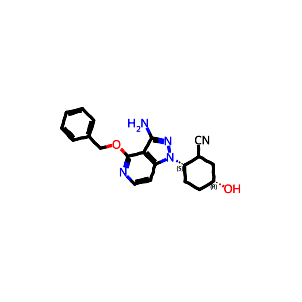 N#CC1C[C@H](O)CC[C@@H]1n1nc(N)c2c(OCc3ccccc3)nccc21